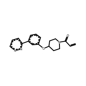 C=CC(=O)N1CCC(Oc2cccc(-c3cccnn3)c2)CC1